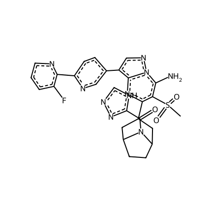 CS(=O)(=O)c1c(C2CC3CCC(C2)N3C(=O)c2nnc[nH]2)nc2c(-c3ccc(-c4ncccc4F)nc3)cnn2c1N